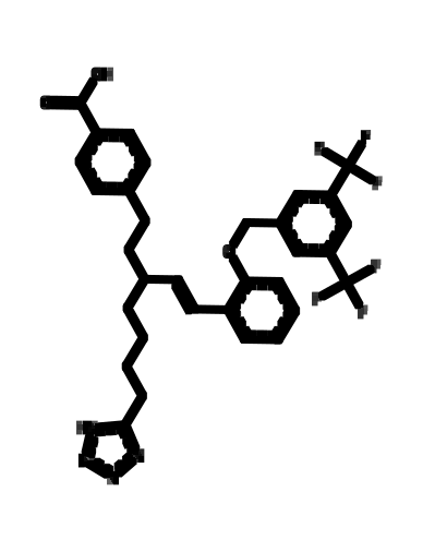 O=C(O)c1ccc(CCC(/C=C/c2ccccc2OCc2cc(C(F)(F)F)cc(C(F)(F)F)c2)CCCCc2nnn[nH]2)cc1